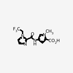 Cn1cc(NC(=O)c2nccn2CC(F)(F)F)cc1C(=O)O